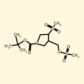 CC(C)(C)OC(=O)N1CC(COS(C)(=O)=O)C(S(C)(=O)=O)C1